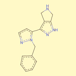 c1ccc(Cn2nccc2-c2n[nH]c3c2CNC3)cc1